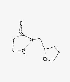 O=C1[CH]CON1CC1CCCO1